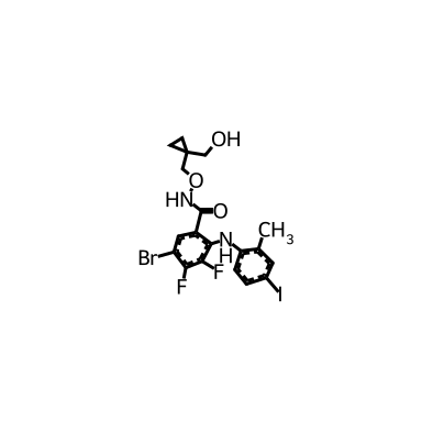 Cc1cc(I)ccc1Nc1c(C(=O)NOCC2(CO)CC2)cc(Br)c(F)c1F